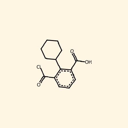 O=C(O)c1cccc(C(=O)Cl)c1C1CCCCC1